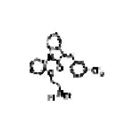 CCN(CC)CCOc1ccccc1N1C(=O)C(=Nc2cccc(C(F)(F)F)c2)c2ccccc21